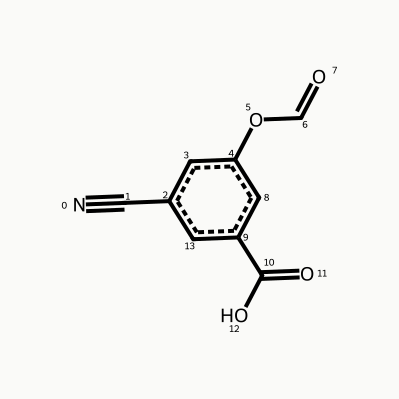 N#Cc1cc(OC=O)cc(C(=O)O)c1